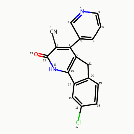 N#Cc1c(-c2cccnc2)c2c([nH]c1=O)-c1cc(Cl)ccc1C2